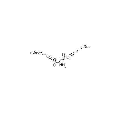 CCCCCCCCCCCCCCOCOC(=O)CCC(N)C(=O)OCOCCCCCCCCCCCCCC